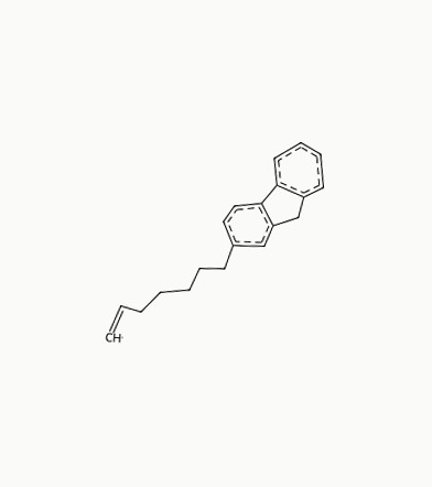 [CH]=CCCCCCc1ccc2c(c1)Cc1ccccc1-2